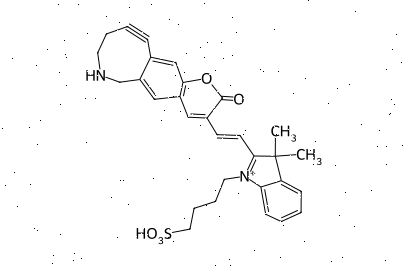 CC1(C)C(/C=C/c2cc3cc4c(cc3oc2=O)C#CCCNC4)=[N+](CCCCS(=O)(=O)O)c2ccccc21